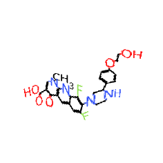 Cn1cc(C(=O)O)c(=O)c2cc3cc(F)c(N4CCNC(c5ccc(OCCO)cc5)C4)c(F)c3nc21